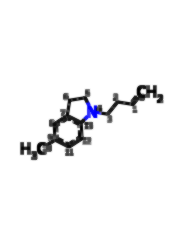 C=CCCN1CCc2cc(C)ccc21